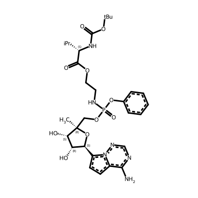 CC(C)[C@H](NC(=O)OC(C)(C)C)C(=O)OCCNP(=O)(OC[C@@]1(C)O[C@@H](c2ccc3c(N)ncnn23)[C@H](O)[C@@H]1O)Oc1ccccc1